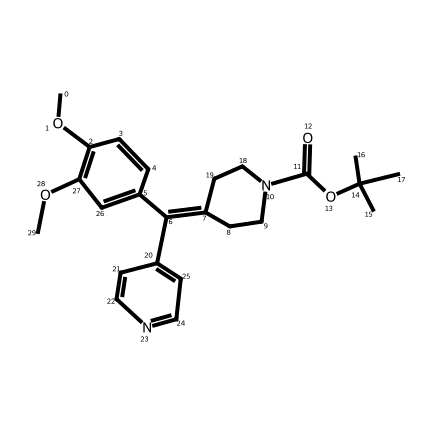 COc1ccc(C(=C2CCN(C(=O)OC(C)(C)C)CC2)c2ccncc2)cc1OC